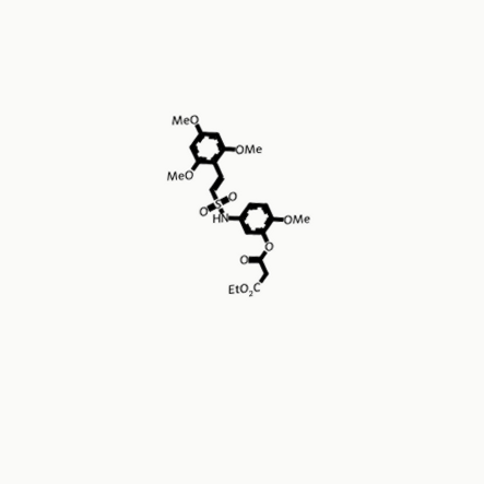 CCOC(=O)CC(=O)Oc1cc(NS(=O)(=O)C=Cc2c(OC)cc(OC)cc2OC)ccc1OC